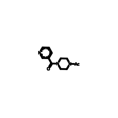 CC(=O)N1CCN(C(=O)c2cccnc2)CC1